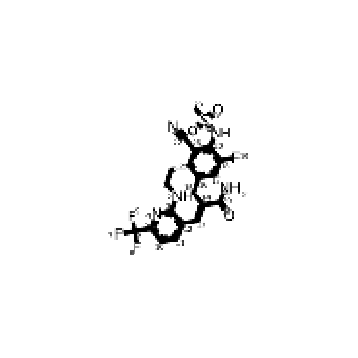 CCNc1nc(C(F)(F)F)ccc1C=C(Cc1cc(F)c(NS(C)(=O)=O)c(C#N)c1)C(N)=O